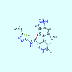 COc1nnc(NC(=O)c2cnc(C)cc2-c2cc3cn[nH]c3cc2OC)s1